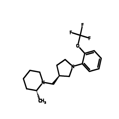 C[C@@H]1CCCCN1C[C@H]1CCN(c2ccccc2OC(F)(F)F)C1